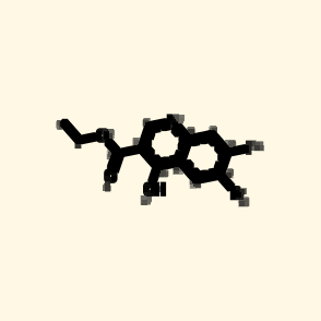 CCOC(=O)c1cnc2cc(F)c(Br)cc2c1O